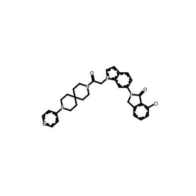 O=C(Cn1ccc2ccc(N3Cc4cccc(Cl)c4C3=O)cc21)N1CCC2(CC1)CCN(c1ccncc1)CC2